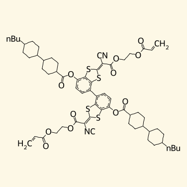 [C-]#[N+]/C(C(=O)OCCOC(=O)C=C)=C1\Sc2c(OC(=O)C3CCC(C4CCC(CCCC)CC4)CC3)ccc(-c3ccc(OC(=O)C4CCC(C5CCC(CCCC)CC5)CC4)c4c3S/C(=C(/C#N)C(=O)OCCOC(=O)C=C)S4)c2S1